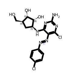 Nc1nc(Cl)c(/N=N/c2ccc(Cl)cc2)c(N[C@H]2C[C@@H](CO)[C@H](O)[C@@H]2O)n1